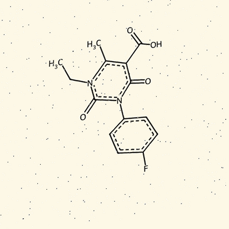 CCn1c(C)c(C(=O)O)c(=O)n(-c2ccc(F)cc2)c1=O